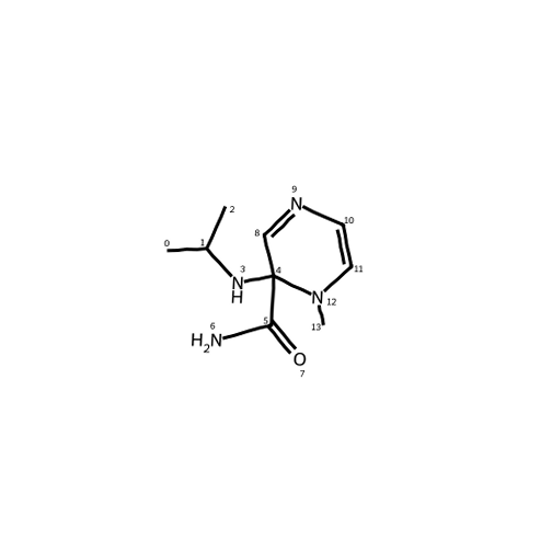 CC(C)NC1(C(N)=O)C=NC=CN1C